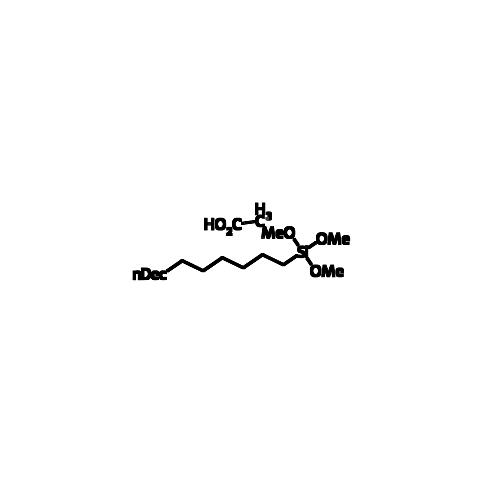 CC(=O)O.CCCCCCCCCCCCCCCC[Si](OC)(OC)OC